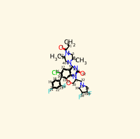 C=CC(=O)N1C[C@H](C)N(c2nc(=O)n3c4c(c(-c5ccc(F)cc5F)c(Cl)cc24)OCC3CN2CC(F)C(F)C2)C[C@H]1C